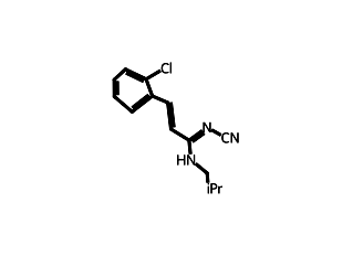 CC(C)CNC(C=Cc1ccccc1Cl)=NC#N